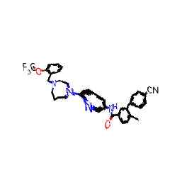 Cc1ccc(C(=O)Nc2ccc(N3CCCN(Cc4ccccc4OC(F)(F)F)CC3)nc2)cc1-c1ccc(C#N)cc1